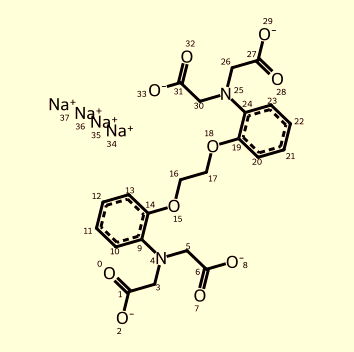 O=C([O-])CN(CC(=O)[O-])c1ccccc1OCCOc1ccccc1N(CC(=O)[O-])CC(=O)[O-].[Na+].[Na+].[Na+].[Na+]